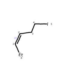 CC/C=C\CCI